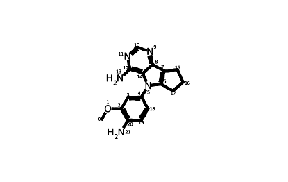 COc1cc(-n2c3c(c4ncnc(N)c42)CCC3)ccc1N